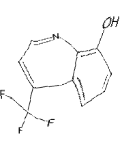 Oc1cccc2c(C(F)(F)F)ccnc12